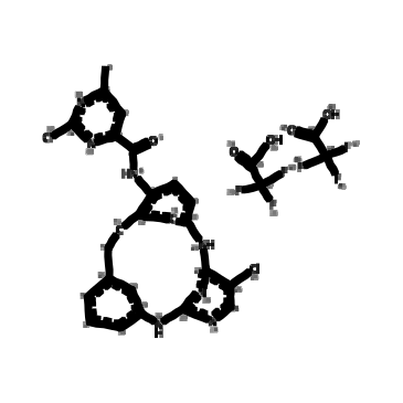 Cc1cc(C(=O)Nc2ccc3cc2CCc2cccc(c2)Nc2ncc(Cl)c(n2)N3)nc(Cl)n1.O=C(O)C(F)(F)F.O=C(O)C(F)(F)F